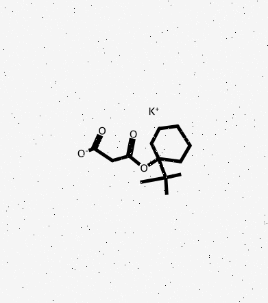 CC(C)(C)C1(OC(=O)CC(=O)[O-])CCCCC1.[K+]